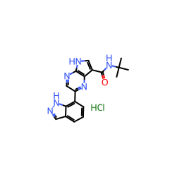 CC(C)(C)NC(=O)c1c[nH]c2ncc(-c3cccc4cn[nH]c34)nc12.Cl